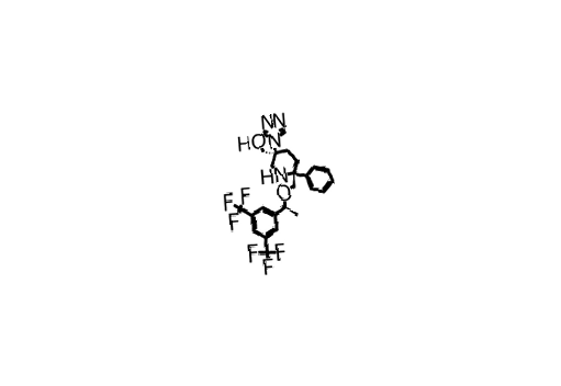 C[C@H](OC[C@]1(c2ccccc2)CC[C@](CO)(n2cnnc2)CN1)c1cc(C(F)(F)F)cc(C(F)(F)F)c1